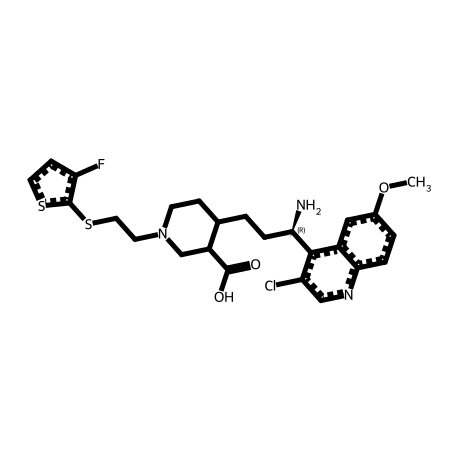 COc1ccc2ncc(Cl)c([C@H](N)CCC3CCN(CCSc4sccc4F)CC3C(=O)O)c2c1